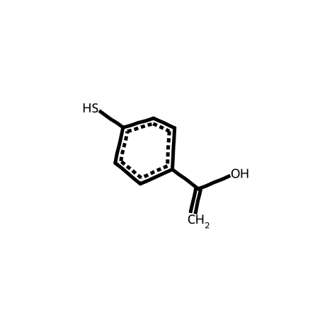 C=C(O)c1ccc(S)cc1